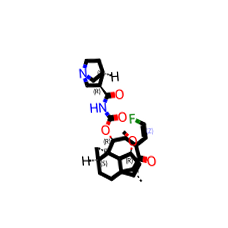 CO[C@@H]1CCC23CC[C@H]4C[C@@]4(C12)[C@H](OC(=O)NC(=O)[C@H]1CN2CC[C@@H]1C2)CC(/C=C\F)C(=O)[C@@H]3C